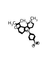 Cc1oc2ccc3c(c4c(n3-c3ccc([N+](=O)[O-])cc3)CCN(C)C4)c2c1C